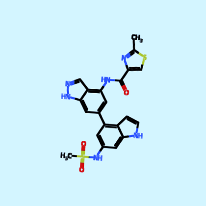 Cc1nc(C(=O)Nc2cc(-c3cc(NS(C)(=O)=O)cc4[nH]ccc34)cc3[nH]ncc23)cs1